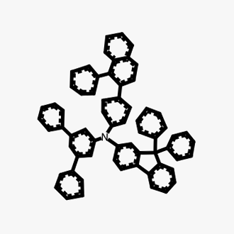 c1ccc(-c2cc(-c3ccccc3)cc(N(c3ccc(-c4ccc5ccccc5c4-c4ccccc4)cc3)c3ccc4c(c3)C(c3ccccc3)(c3ccccc3)c3ccccc3-4)c2)cc1